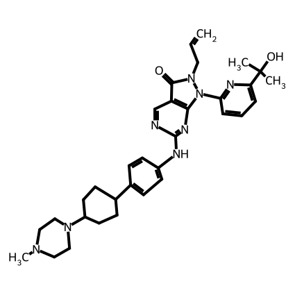 C=CCn1c(=O)c2cnc(Nc3ccc(C4CCC(N5CCN(C)CC5)CC4)cc3)nc2n1-c1cccc(C(C)(C)O)n1